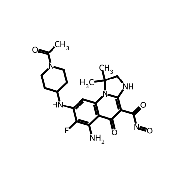 CC(=O)N1CCC(Nc2cc3c(c(N)c2F)c(=O)c(C(=O)N=O)c2n3C(C)(C)CN2)CC1